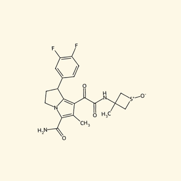 Cc1c(C(=O)C(=O)NC2(C)C[S+]([O-])C2)c2n(c1C(N)=O)CCC2c1ccc(F)c(F)c1